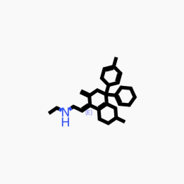 C=C1CC(C2=CCCCC2)(C2C=CC(C)=CC2)C2=C(CCC(C)C2)/C1=C/CNCC